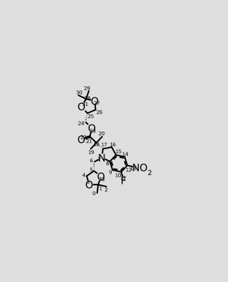 CC1(C)OC[C@H](CN2c3cc(F)c([N+](=O)[O-])cc3C[C@H]2C(C)(C)C(=O)OC[C@H]2COC(C)(C)O2)O1